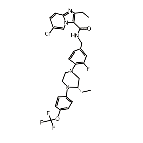 CCc1nc2ccc(Cl)cn2c1C(=O)NCc1ccc(N2CCN(c3ccc(OC(F)(F)F)cc3)[C@@H](CC)C2)c(F)c1